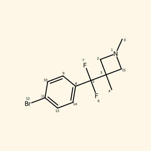 CN1CC(C)(C(F)(F)c2ccc(Br)cc2)C1